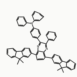 CC1(C)c2ccccc2-c2ccc(-c3ccc(-c4ccc5c(c4)C(C)(C)c4ccccc4-5)c4nc(-c5ccc(N(c6ccccc6)c6ccccc6)cc5)c(-c5ccccc5)nc34)cc21